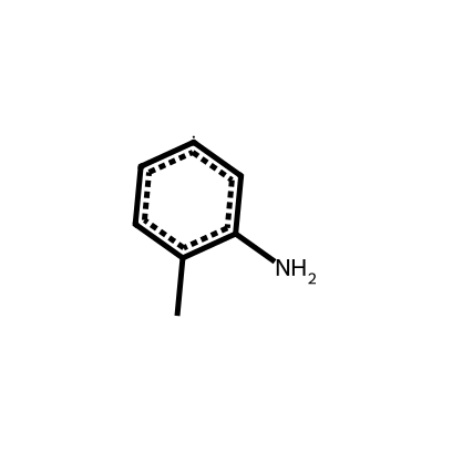 Cc1cc[c]cc1N